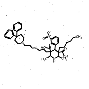 CCCCCCC1(C(=O)O)C(C)NC(C)C(CCCOCCCN2CCC(c3ccccc3)(c3ccccc3)CC2)(C(=O)O)C1c1cccc([N+](=O)[O-])c1